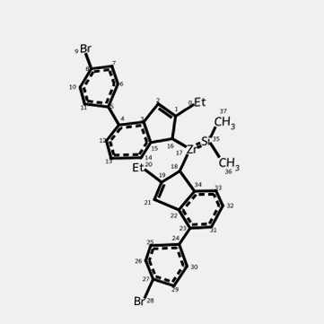 CCC1=Cc2c(-c3ccc(Br)cc3)cccc2[CH]1[Zr]([CH]1C(CC)=Cc2c(-c3ccc(Br)cc3)cccc21)=[Si](C)C